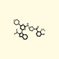 Cc1c(F)cccc1C(=O)N1CC[C@H](Nc2nc(N3CCOCC3)cc(-n3c(C(F)F)nc4ccccc43)n2)C1